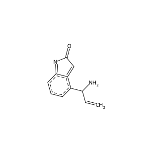 C=CC(N)c1cccc2c1=CC(=O)N=2